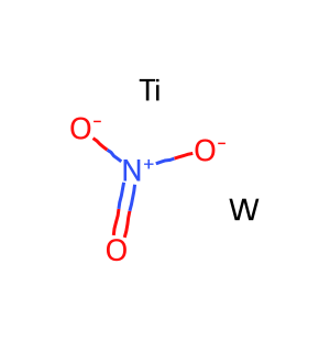 O=[N+]([O-])[O-].[Ti].[W]